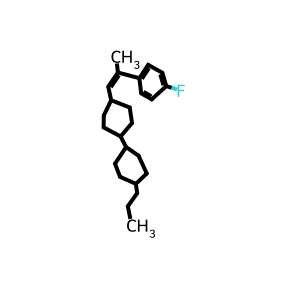 CCCC1CCC(C2CCC(C=C(C)c3ccc(F)cc3)CC2)CC1